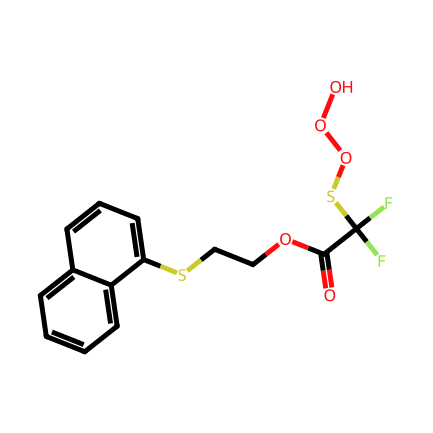 O=C(OCCSc1cccc2ccccc12)C(F)(F)SOOO